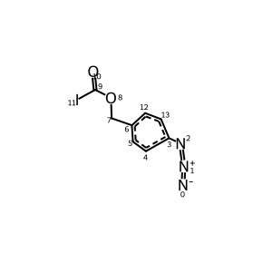 [N-]=[N+]=Nc1ccc(COC(=O)I)cc1